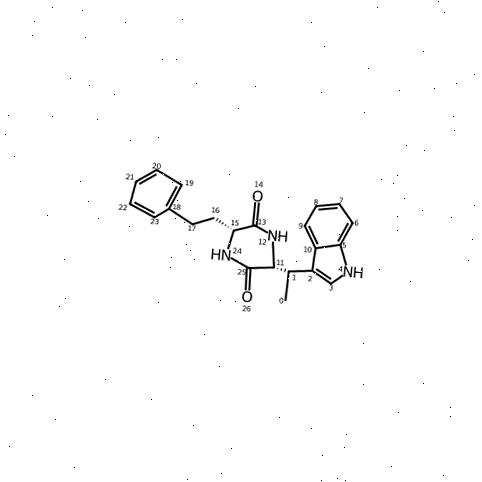 CC(c1c[nH]c2ccccc12)[C@H]1NC(=O)[C@@H](CCc2ccccc2)NC1=O